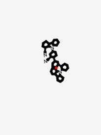 N#Cc1cc(-n2c3ccccc3c3cccc(C#N)c32)ccc1-c1cccc(-c2ccccc2-n2c3ccccc3c3ccccc32)c1